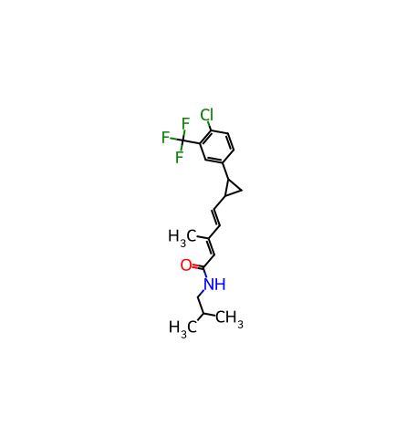 CC(/C=C/C1CC1c1ccc(Cl)c(C(F)(F)F)c1)=C\C(=O)NCC(C)C